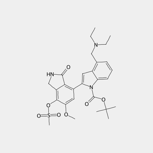 CCN(CC)Cc1cccc2c1cc(-c1cc(OC)c(OS(C)(=O)=O)c3c1C(=O)NC3)n2C(=O)OC(C)(C)C